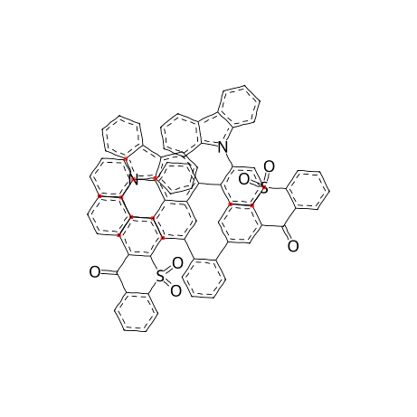 O=C1c2ccccc2S(=O)(=O)c2ccc(-c3ccccc3-c3cc(-c4ccccc4-n4c5ccccc5c5ccccc54)c4c(-c5ccccc5-c5ccc6c(c5)C(=O)c5ccccc5S6(=O)=O)ccc(-c5ccccc5-n5c6ccccc6c6ccccc65)c4c3)cc21